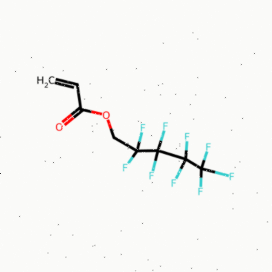 C=CC(=O)OCC(F)(F)C(F)(F)C(F)(F)C(F)(F)F